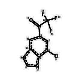 O=C(c1cc(Cl)c2nccn2c1)C(F)(F)F